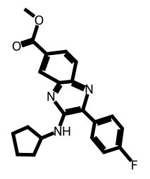 COC(=O)c1ccc2nc(-c3ccc(F)cc3)c(NC3CCCC3)nc2c1